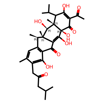 CC(=O)C1=C(O)C(C(C)C)[C@@]2(C)[C@H](O)[C@]3(C)C(=C(O)[C@@]2(O)C1=O)C(=O)c1c(cc(C)c(CC(=O)CC(C)C)c1O)[C@H]3C